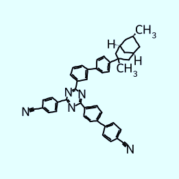 C[C@H]1C[C@@H]2C[C@H](C1)CC(C)(c1ccc(-c3cccc(-c4nc(-c5ccc(C#N)cc5)nc(-c5ccc(-c6ccc(C#N)cc6)cc5)n4)c3)cc1)C2